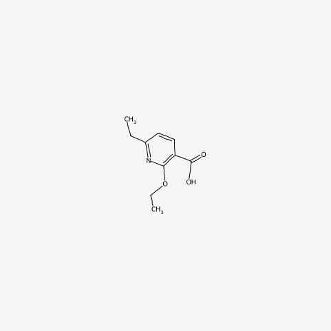 CCOc1nc(CC)ccc1C(=O)O